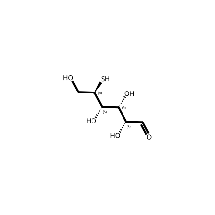 O=C[C@H](O)[C@@H](O)[C@H](O)[C@H](S)CO